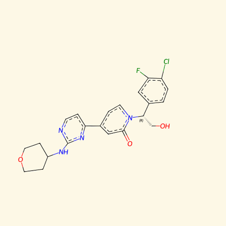 O=c1cc(-c2ccnc(NC3CCOCC3)n2)ccn1[C@@H](CO)c1ccc(Cl)c(F)c1